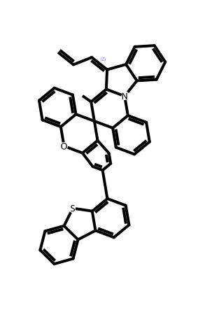 C=C/C=c1\c2n(c3ccccc13)-c1ccccc1C1(C=2C)c2ccccc2Oc2cc(-c3cccc4c3sc3ccccc34)ccc21